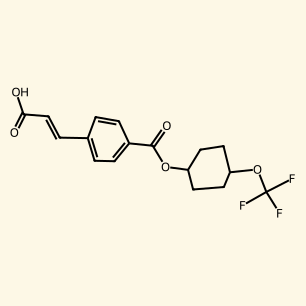 O=C(O)C=Cc1ccc(C(=O)OC2CCC(OC(F)(F)F)CC2)cc1